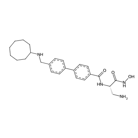 NC[C@H](NC(=O)c1ccc(-c2ccc(CNC3CCCCCCC3)cc2)cc1)C(=O)NO